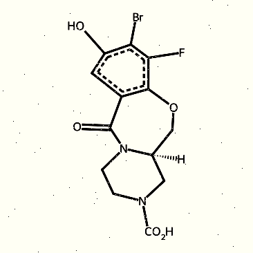 O=C(O)N1CCN2C(=O)c3cc(O)c(Br)c(F)c3OC[C@H]2C1